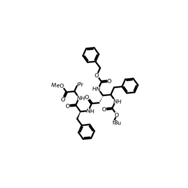 COC(=O)C(NC(=O)[C@H](Cc1ccccc1)NC(=O)C[C@H](NC(=O)OCc1ccccc1)C(Cc1ccccc1)NC(=O)OC(C)(C)C)C(C)C